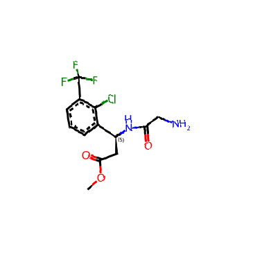 COC(=O)C[C@H](NC(=O)CN)c1cccc(C(F)(F)F)c1Cl